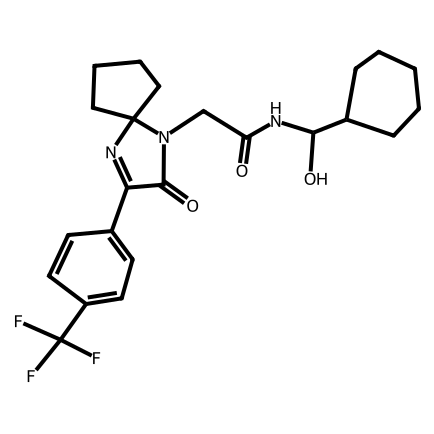 O=C(CN1C(=O)C(c2ccc(C(F)(F)F)cc2)=NC12CCCC2)NC(O)C1CCCCC1